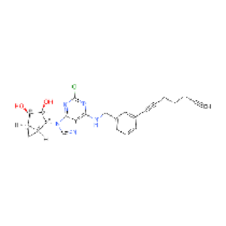 C#CCCCC#Cc1cccc(CNc2nc(Cl)nc3c2ncn3[C@H]2[C@H](O)[C@H](O)[C@@H]3C[C@@H]32)c1